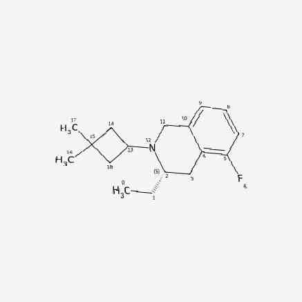 CC[C@H]1Cc2c(F)cccc2CN1C1CC(C)(C)C1